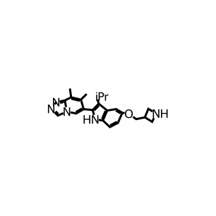 Cc1c(-c2[nH]c3ccc(OCC4CNC4)cc3c2C(C)C)cn2cnnc2c1C